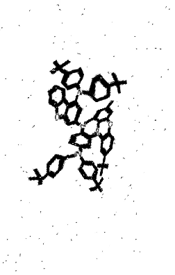 Cc1cc2c3c(c1)N(c1cc(N(c4ccc(C(C)(C)C)cc4)c4ccc(C(C)(C)C)cc4)c4c(c1)oc1ccccc14)c1ccc(N(c4ccc(C(C)(C)C)cc4)c4ccc(C(C)(C)C)cc4)cc1B3c1cc(C(C)(C)C)ccc1O2